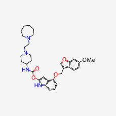 COc1ccc2c(COc3cccc4[nH]c(OC(=O)NC5CCN(CCN6CCCCCC6)CC5)cc34)coc2c1